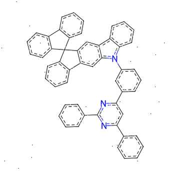 c1ccc(-c2cc(-c3cccc(-n4c5ccccc5c5cc6c(cc54)-c4ccccc4C64c5ccccc5-c5ccccc54)c3)nc(-c3ccccc3)n2)cc1